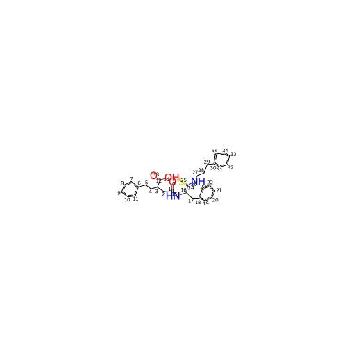 O=C(CC(CCc1ccccc1)C(=O)O)NC(Cc1ccccc1)C(=S)NCCCc1ccccc1